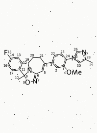 COc1cc(C2=CC3=NOC(C)(c4ccc(F)cc4)N3CCC2)ccc1-n1cnc(C)c1